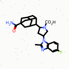 Cc1nc2cc(F)ccc2n1C1CC(C2C3CC4CC2CC(C(N)=O)(C4)C3)N(C(=O)O)C1